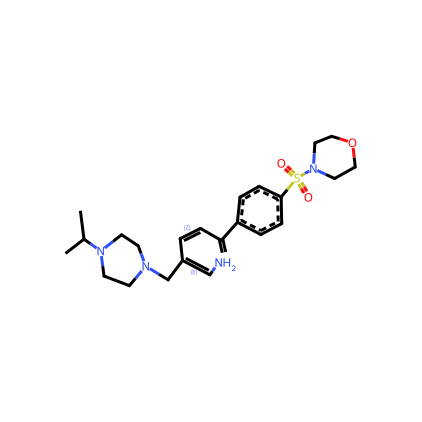 C=C(/C=C\C(=C/N)CN1CCN(C(C)C)CC1)c1ccc(S(=O)(=O)N2CCOCC2)cc1